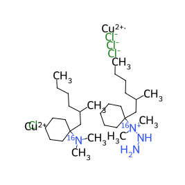 CCCCC(C)CC1([16N+](C)(C)NN)CCCCC1.CCCCC(C)CC1([16N](C)C)CCCCC1.[Cl-].[Cl-].[Cl-].[Cl-].[Cu+2].[Cu+2]